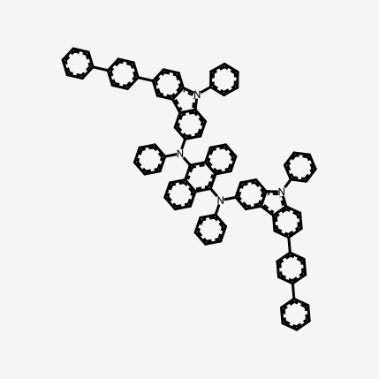 c1ccc(-c2ccc(-c3ccc4c(c3)c3cc(N(c5ccccc5)c5c6ccccc6c(N(c6ccccc6)c6ccc7c(c6)c6cc(-c8ccc(-c9ccccc9)cc8)ccc6n7-c6ccccc6)c6ccccc56)ccc3n4-c3ccccc3)cc2)cc1